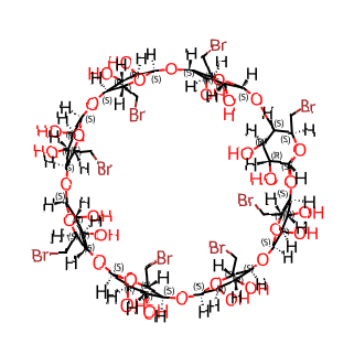 O[C@@H]1[C@@H](O)[C@H]2O[C@H]3[C@H](O)[C@@H](O)[C@@H](O[C@H]4[C@H](O)[C@@H](O)[C@@H](O[C@H]5[C@H](O)[C@@H](O)[C@@H](O[C@H]6[C@H](O)[C@@H](O)[C@@H](O[C@H]7[C@H](O)[C@@H](O)[C@@H](O[C@H]8[C@H](O)[C@@H](O)[C@@H](O[C@H]9[C@H](O)[C@@H](O)[C@@H](O[C@@H]1[C@@H](CBr)O2)O[C@@H]9CBr)O[C@@H]8CBr)O[C@@H]7CBr)O[C@@H]6CBr)O[C@@H]5CBr)O[C@@H]4CBr)O[C@@H]3CBr